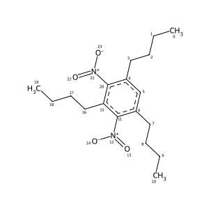 CCCCc1cc(CCCC)c([N+](=O)[O-])c(CCCC)c1[N+](=O)[O-]